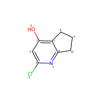 Oc1cc(Cl)nc2c1CCC2